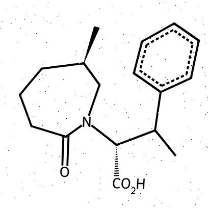 CC(c1ccccc1)[C@H](C(=O)O)N1C[C@H](C)CCCC1=O